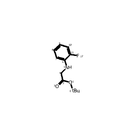 CC(C)(C)OC(=O)CNc1ccccc1F